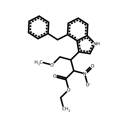 CCOC(=O)C(C(COC)c1c[nH]c2cccc(Cc3ccccc3)c12)[N+](=O)[O-]